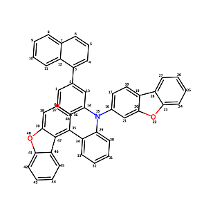 c1cc(-c2cccc3ccccc23)cc(N(c2ccc3c(c2)oc2ccccc23)c2ccccc2-c2cccc3oc4ccccc4c23)c1